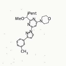 CCCC(C)C(OC)c1nc(N2CCOCC2)cc(-n2ccc(-c3cccc(C)c3)n2)n1